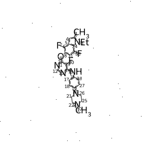 CCn1c(C)cc2c(F)c(Oc3ncnc(Nc4ccc(N5CCN(C)CC5)cc4)c3F)cc(F)c21